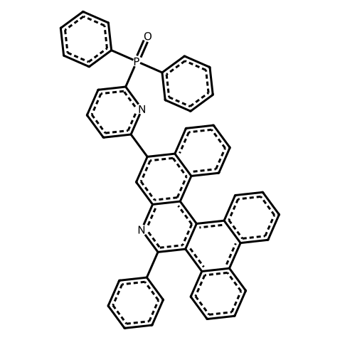 O=P(c1ccccc1)(c1ccccc1)c1cccc(-c2cc3nc(-c4ccccc4)c4c5ccccc5c5ccccc5c4c3c3ccccc23)n1